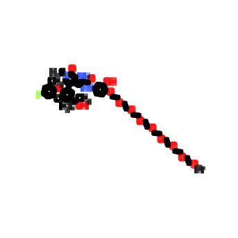 Cc1cc(F)cc(C)c1Oc1ccc(C(C)(C)O)cc1-c1cn(C)c(=O)c2[nH]c(C(=O)Nc3ccc(OCCOCCOCCOCCOCCOCCOCCOCCOC(C)C)c(O)c3)cc12